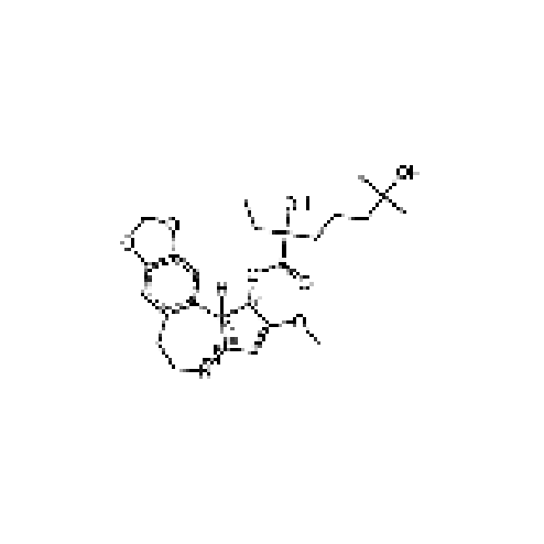 CCC(O)(CCCC(C)(C)O)C(=O)O[C@@H]1C(OC)=C[C@]23CCCN2CCc2cc4c(cc2[C@H]13)OCO4